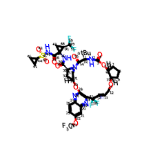 CC(C)(C)[C@@H]1NC(=O)O[C@@H]2CCC[C@H]2OC/C=C/C(F)(F)c2nc3cc(OC(F)(F)F)ccc3nc2O[C@@H]2C[C@@H](C(=O)N[C@]3(C(=O)NS(=O)(=O)C4CC4)C[C@H]3C(F)F)N(C2)C1=O